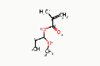 C=C(C)C(=O)OC(CC)OC